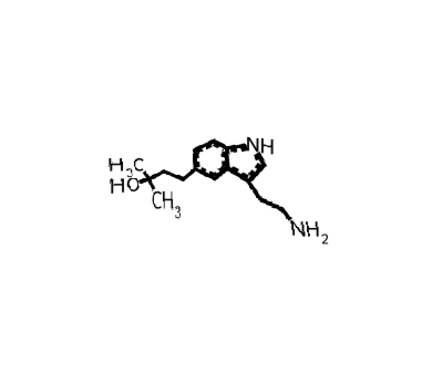 CC(C)(O)CCc1ccc2[nH]cc(CCN)c2c1